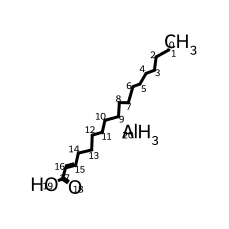 CCCCCCCCCCCCCCCC=CC(=O)O.[AlH3]